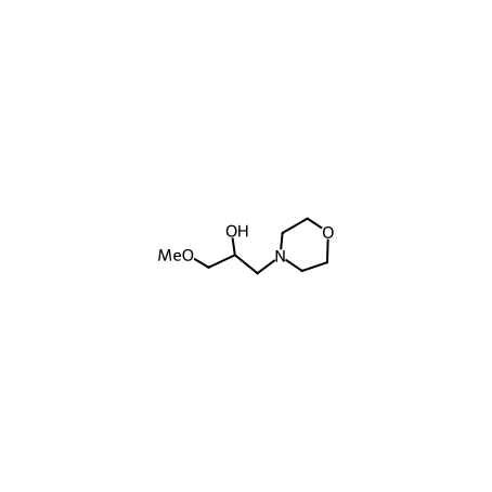 COCC(O)CN1CCOCC1